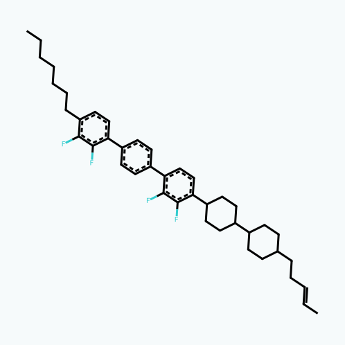 C/C=C/CCC1CCC(C2CCC(c3ccc(-c4ccc(-c5ccc(CCCCCCC)c(F)c5F)cc4)c(F)c3F)CC2)CC1